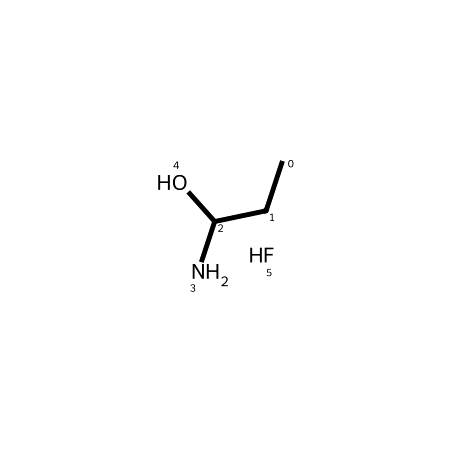 CCC(N)O.F